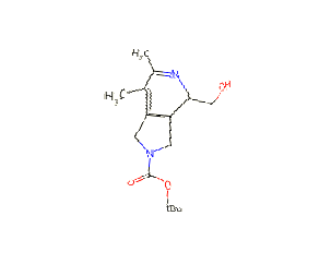 CC1=NC(CO)C2CN(C(=O)OC(C)(C)C)CC2=C1C